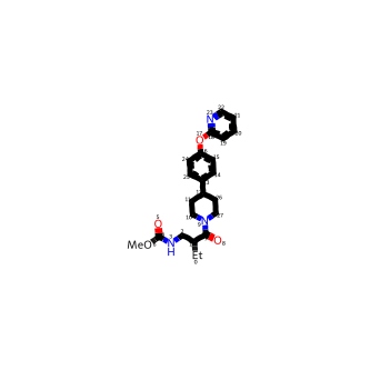 CCC(CNC(=O)OC)C(=O)N1CCC(c2ccc(Oc3ccccn3)cc2)CC1